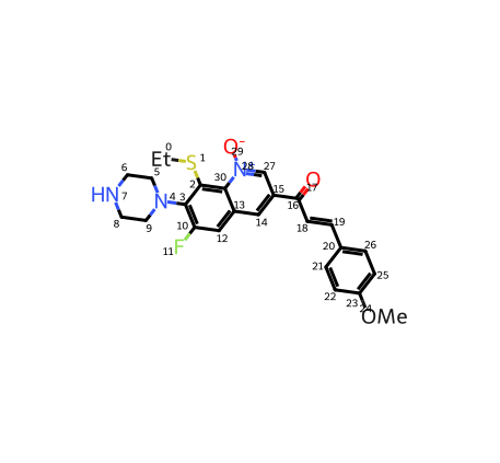 CCSc1c(N2CCNCC2)c(F)cc2cc(C(=O)C=Cc3ccc(OC)cc3)c[n+]([O-])c12